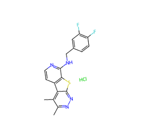 Cc1nnc2sc3c(NCc4ccc(F)c(F)c4)nccc3c2c1C.Cl